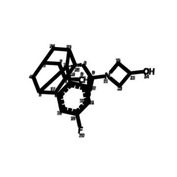 C[C@]12CC3CC(C1)[C@](CC(=O)N1CC(O)C1)(c1ccc(F)cc1)C(C3)C2